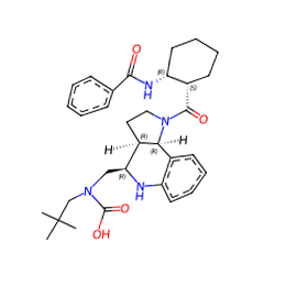 CC(C)(C)CN(C[C@@H]1Nc2ccccc2[C@H]2[C@@H]1CCN2C(=O)[C@H]1CCCC[C@H]1NC(=O)c1ccccc1)C(=O)O